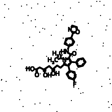 CC(C)n1c(CC[C@@H](O)C[C@@H](O)CC(=O)O)c(-c2ccc(F)cc2)c(-c2ccccc2)c1C(=O)Nc1ccc(-c2ncco2)cc1